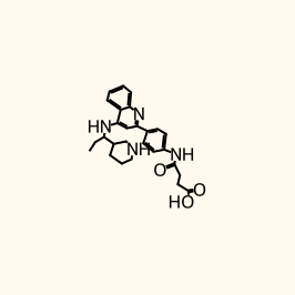 CCC(Nc1cc(-c2ccc(NC(=O)CCC(=O)O)cc2)nc2ccccc12)C1CCCNC1